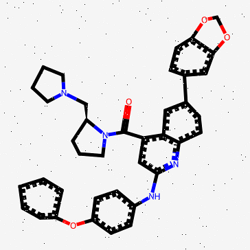 O=C(c1cc(Nc2ccc(Oc3ccccc3)cc2)nc2ccc(-c3ccc4c(c3)OCO4)cc12)N1CCC[C@H]1CN1CCCC1